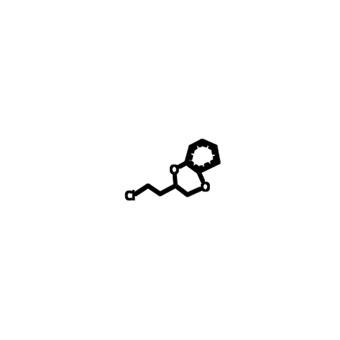 ClCCC1COc2ccccc2O1